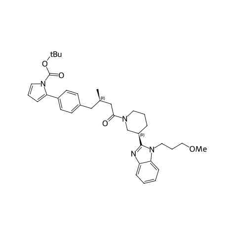 COCCCn1c([C@@H]2CCCN(C(=O)C[C@H](C)Cc3ccc(-c4cccn4C(=O)OC(C)(C)C)cc3)C2)nc2ccccc21